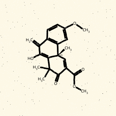 C=C1C(O)=C2C(C)(C)C(=O)C(C(=O)OC)=C[C@@]2(C)c2cc(OC)ccc21